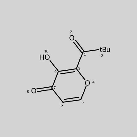 CC(C)(C)C(=O)c1occc(=O)c1O